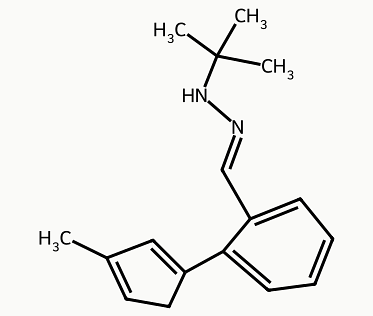 CC1=CCC(c2ccccc2/C=N/NC(C)(C)C)=C1